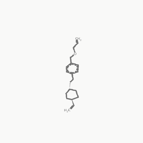 C=CCOCc1ccc(CC[C@H]2CC[C@H](C=C)CC2)cc1